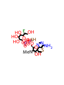 CN[C@H]1[C@@H](O)C2(C=CSc3c(N)ncnc32)O[C@@H]1COP(=O)(S)OP(=O)(O)OC1OC([C@@H](F)CO)C(O)C(O)C1O